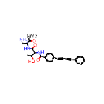 CNC(=O)C(CN)NC(=O)C(NC(=O)c1ccc(C#CC#Cc2ccccc2)cc1)C(C)O